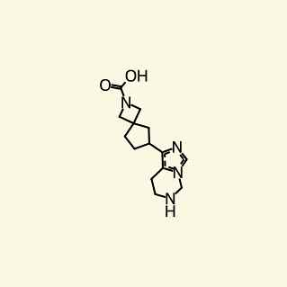 O=C(O)N1CC2(CCC(c3ncn4c3CCNC4)C2)C1